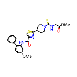 COC(=O)CNC(=S)N1CCC(c2nc(C(=O)Nc3cc(OC)ccc3-c3ccccc3)cs2)CC1